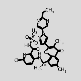 CCc1ncc(-n2cc(-c3oc4c([C@@H](C)Nc5ccc(Cl)nc5C(=O)NS(C)(=O)=O)cc(C)cc4c(=O)c3C)cn2)cn1